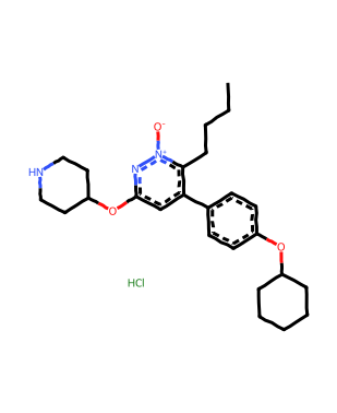 CCCCc1c(-c2ccc(OC3CCCCC3)cc2)cc(OC2CCNCC2)n[n+]1[O-].Cl